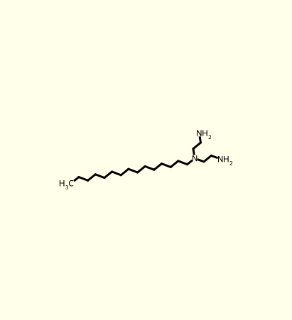 CCCCCCCCCCCCCCCN(CCN)CCN